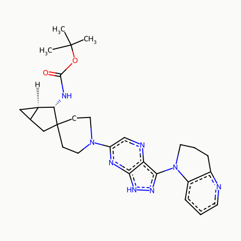 CC(C)(C)OC(=O)N[C@H]1[C@@H]2CC2CC12CCN(c1cnc3c(N4CCCc5ncccc54)n[nH]c3n1)CC2